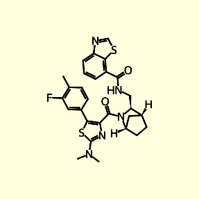 Cc1ccc(-c2sc(N(C)C)nc2C(=O)N2[C@H]3CC[C@H](C3)[C@@H]2CNC(=O)c2cccc3ncsc23)cc1F